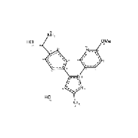 COc1ccc(-n2nc(C(F)(F)F)cc2-c2ccc(CN)cc2)cn1.Cl.Cl